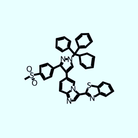 CS(=O)(=O)c1ccc(-c2nn(C(c3ccccc3)(c3ccccc3)C3C=CC=CC3)cc2-c2ccc3ncc(-c4nc5ccccc5s4)n3c2)cc1